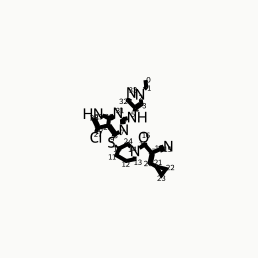 CCn1cc(Nc2nc(S[C@@H]3CCCN(C(=O)/C(C#N)=C/C4CC4)C3)c3c(Cl)c[nH]c3n2)cn1